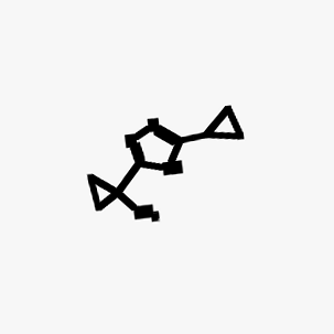 NC1(c2nnc(C3CC3)[nH]2)CC1